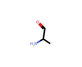 [CH2]C(N)C=O